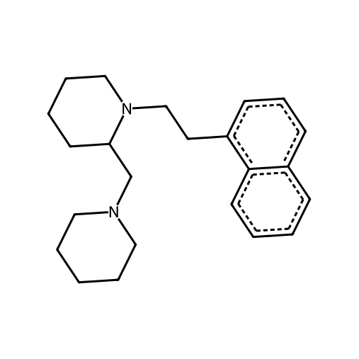 c1ccc2c(CCN3CCCCC3CN3CCCCC3)cccc2c1